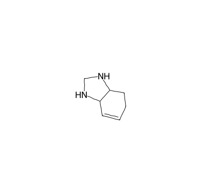 C1=CC2NCNC2CC1